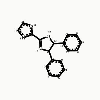 c1ccc(C2N=C(c3nccs3)OC2c2ccccc2)cc1